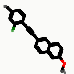 CCc1ccc(C#Cc2ccc3cc(OC(F)(F)F)ccc3c2)c(F)c1